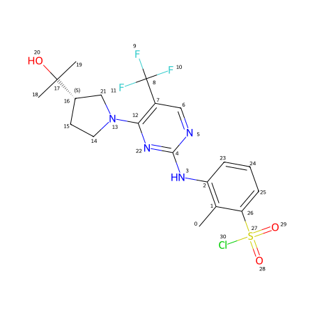 Cc1c(Nc2ncc(C(F)(F)F)c(N3CC[C@H](C(C)(C)O)C3)n2)cccc1S(=O)(=O)Cl